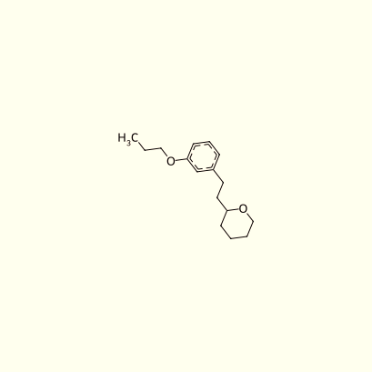 CCCOc1cccc(CCC2CCCCO2)c1